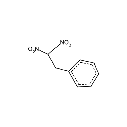 O=[N+]([O-])C(Cc1ccccc1)[N+](=O)[O-]